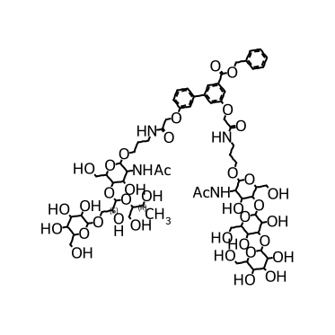 CC(=O)NC1C(OCCCNC(=O)COc2cc(C(=O)OCc3ccccc3)cc(-c3cccc(OCC(=O)NCCCOC4OC(CO)C(OC(OC(CO)[C@@H](C)O)[C@@H](O)COC5OC(CO)C(O)C(O)C5O)C(O)C4NC(C)=O)c3)c2)OC(CO)C(OC2OC(CO)C(O)C(OC3OC(CO)C(O)C(O)C3O)C2O)C1O